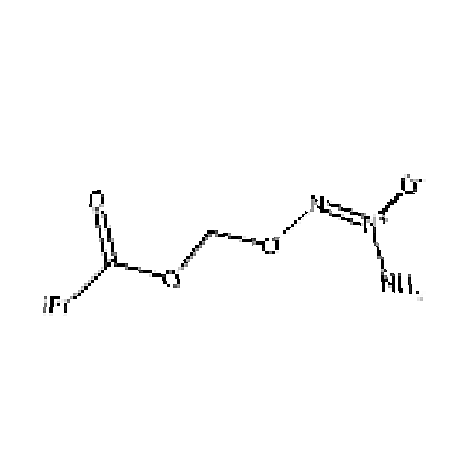 CC(C)C(=O)OCO/N=[N+](\N)[O-]